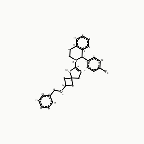 Fc1ccc(C2c3ccccc3CCN2C2=NCC3(CC(OCc4ccccc4)C3)O2)cc1